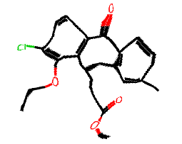 CCOc1c(Cl)ccc2c1C(CC(=O)OC)c1cc(C)ccc1C2=O